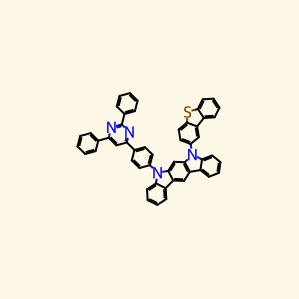 c1ccc(-c2cc(-c3ccc(-n4c5ccccc5c5cc6c7ccccc7n(-c7ccc8sc9ccccc9c8c7)c6cc54)cc3)nc(-c3ccccc3)n2)cc1